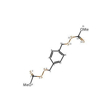 COC(=S)SSCc1ccc(CSSC(=S)OC)cc1